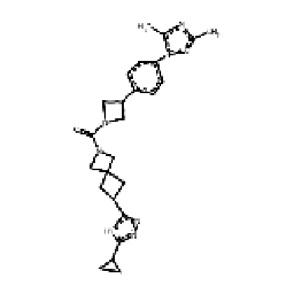 Cc1nc(C)n(-c2ccc(C3CN(C(=O)N4CC5(CC(c6nnc(C7CC7)[nH]6)C5)C4)C3)cc2)n1